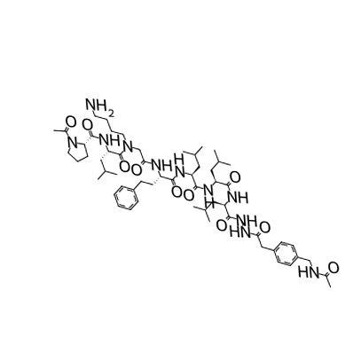 CC(=O)NCc1ccc(CC(=O)NNC(=O)[C@@H](CC(C)C)NC(=O)[C@H](CC(C)C)NC(=O)[C@H](CC(C)C)NC(=O)[C@H](CCc2ccccc2)NC(=O)CN(CCCCN)C(=O)[C@H](CC(C)C)NC(=O)[C@@H]2CCCN2C(C)=O)cc1